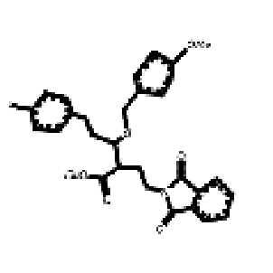 COc1ccc(COC(CCc2ccc(I)cc2)C(CCN2C(=O)c3ccccc3C2=O)C(=O)OCC(C)C)cc1